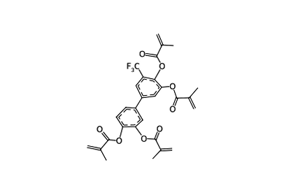 C=C(C)C(=O)Oc1ccc(-c2cc(OC(=O)C(=C)C)c(OC(=O)C(=C)C)c(C(F)(F)F)c2)cc1OC(=O)C(=C)C